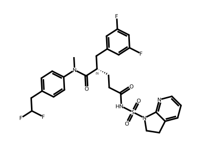 CN(C(=O)[C@@H](CCC(=O)NS(=O)(=O)N1CCc2cccnc21)Cc1cc(F)cc(F)c1)c1ccc(CC(F)F)cc1